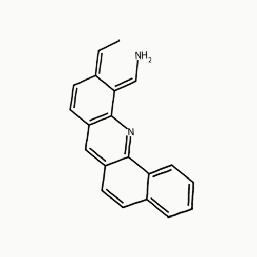 C/C=c1/ccc2cc3ccc4ccccc4c3nc2/c1=C/N